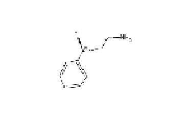 NC[CH][C@H](F)c1ccccc1